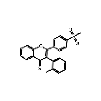 Cc1ccccc1-c1c(-c2ccc(S(C)(=O)=O)cc2)oc2ccccc2c1=S